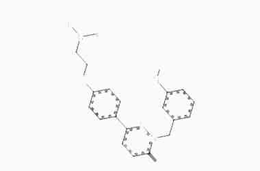 CCOC(=O)Nc1cccc(Cn2nc(-c3ccc(OCCN(C(C)C)C(C)C)cc3)ccc2=O)c1